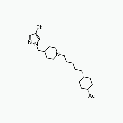 CCc1cnn(CC2CCN(CCCCC[C@H]3CC[C@@H](C(C)=O)CC3)CC2)c1